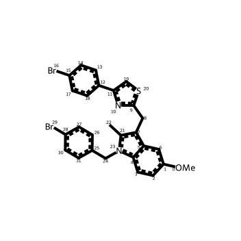 COc1ccc2c(c1)c(Cc1nc(-c3ccc(Br)cc3)cs1)c(C)n2Cc1ccc(Br)cc1